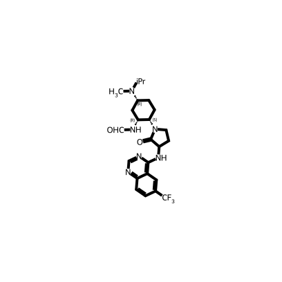 CC(C)N(C)[C@@H]1CC[C@H](N2CCC(Nc3ncnc4ccc(C(F)(F)F)cc34)C2=O)[C@H](NC=O)C1